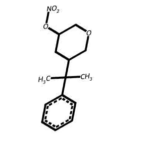 CC(C)(c1ccccc1)C1COCC(O[N+](=O)[O-])C1